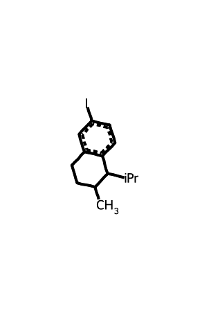 CC(C)C1c2ccc(I)cc2CCC1C